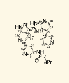 CC(C)CC(=O)Nc1cncc(-c2ncc3[nH]nc(-c4nc5c(-c6cccnc6)ccnc5[nH]4)c3c2F)c1